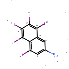 Nc1cc(I)c2c(I)c(I)c(I)c(I)c2c1